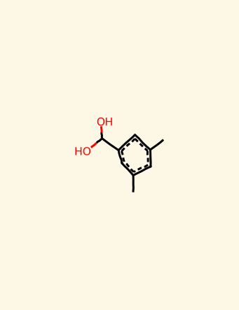 Cc1cc(C)cc(C(O)O)c1